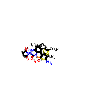 CC1=C(N)SC2=C(c3cc(C)c(C)c4c3N(C(=O)N(N3C(=O)CCC3=O)N4)P2(=O)O)C12SC(C(=O)O)=C(C(=O)O)S2